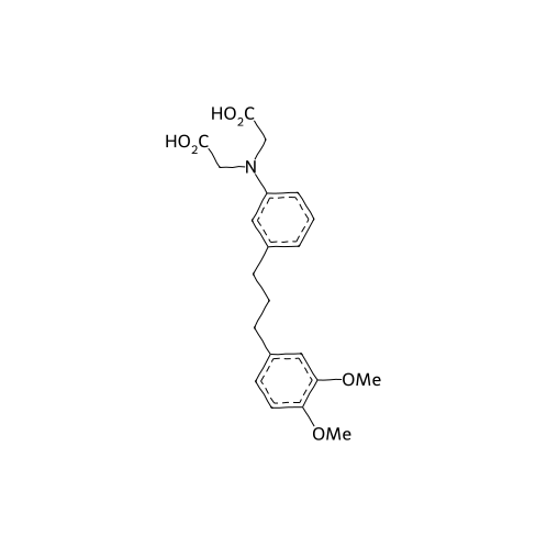 COc1ccc(CCCc2cccc(N(CC(=O)O)CC(=O)O)c2)cc1OC